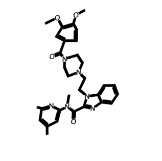 COc1ccc(C(=O)N2CCN(CCn3c(C(=O)N(C)c4cc(C)cc(C)n4)nc4ccccc43)CC2)cc1OC